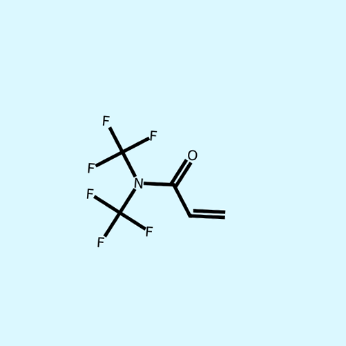 C=CC(=O)N(C(F)(F)F)C(F)(F)F